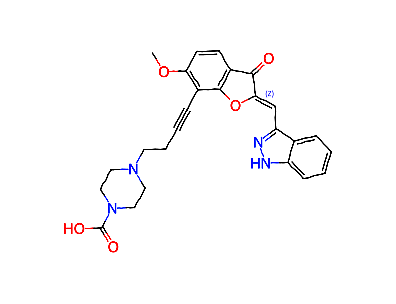 COc1ccc2c(c1C#CCCN1CCN(C(=O)O)CC1)O/C(=C\c1n[nH]c3ccccc13)C2=O